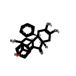 CC1=C(C)C[C@@]2(c3ccccc3)C(=C1)C(=O)[C@H]1CC(C)=C(C)C[C@@]12c1ccccc1